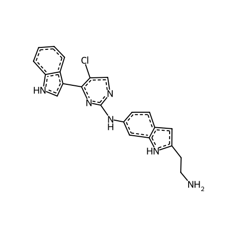 NCCc1cc2ccc(Nc3ncc(Cl)c(-c4c[nH]c5ccccc45)n3)cc2[nH]1